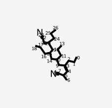 CCCC(=CC(C)C#N)CC(CCC)CC(CCC)CC(CC#N)CCC